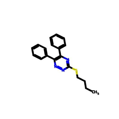 CCCCSc1nnc(-c2ccccc2)c(-c2ccccc2)n1